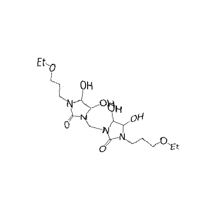 CCOCCCN1C(=O)N(CN2C(=O)N(CCCOCC)C(O)C2O)C(O)C1O